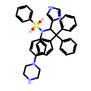 O=S(=O)(c1ccccc1)N(c1ccc(N2CCNCC2)cc1)C(c1c[nH]cn1)C(c1ccccc1)(c1ccccc1)c1ccccc1